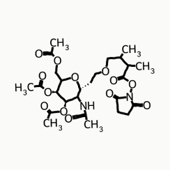 CC(=O)NC1[C@@H](OC(C)=O)[C@@H](OC(C)=O)C(COC(C)=O)O[C@@H]1CCOCC(C)C(C)C(=O)ON1C(=O)CCC1=O